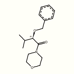 CC(C)[C@@H](OCc1ccccc1)C(=O)N1CCOCC1